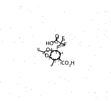 Cc1c(C(=O)O)ccc2c1OC(C)O2.O=C(O)C(F)(F)F